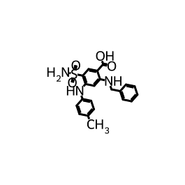 Cc1ccc(Nc2cc(NCc3ccccc3)c(C(=O)O)cc2S(N)(=O)=O)cc1